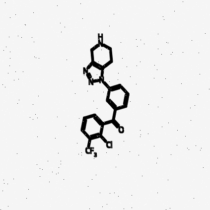 O=C(c1cccc(-n2nnc3c2CCNC3)c1)c1cccc(C(F)(F)F)c1Cl